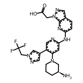 N[C@H]1CCCN(c2cc(Nc3ccc4cnn(CC(=O)O)c4n3)ncc2-c2cnn(CC(F)(F)F)c2)C1